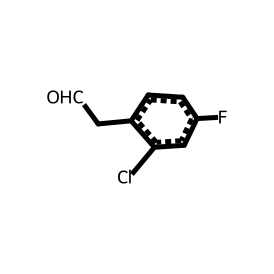 O=CCc1ccc(F)cc1Cl